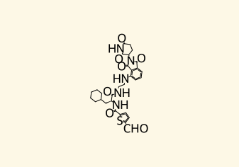 O=Cc1ccc(C(=O)N[C@@H](CC2CCCCC2)C(=O)NCCNc2cccc3c2C(=O)N(C2CCC(=O)NC2=O)C3=O)s1